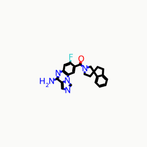 Nc1nc2cc(F)c(C(=O)N3CCC4(CCc5ccccc54)C3)cc2n2cncc12